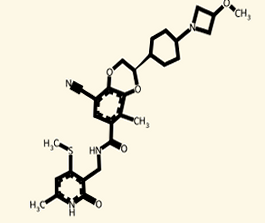 COC1CN(C2CCC([C@@H]3COc4c(C#N)cc(C(=O)NCc5c(SC)cc(C)[nH]c5=O)c(C)c4O3)CC2)C1